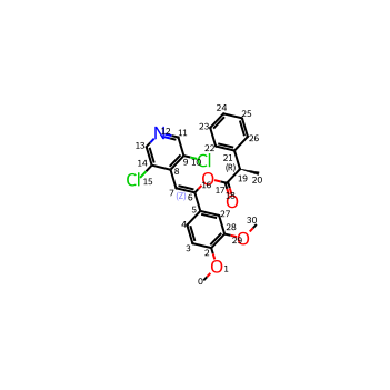 COc1ccc(/C(=C/c2c(Cl)cncc2Cl)OC(=O)[C@H](C)c2ccccc2)cc1OC